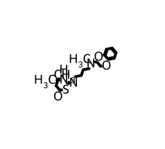 CN(CCCCN=C1NC(C)(C)CC(=O)S1)C1COc2ccccc2O1